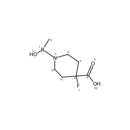 CB(O)N1CCC(F)(C(=O)O)CC1